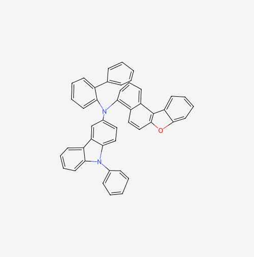 c1ccc(-c2ccccc2N(c2ccc3c(c2)c2ccccc2n3-c2ccccc2)c2cccc3c2ccc2oc4ccccc4c23)cc1